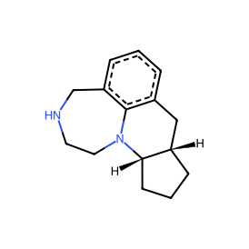 c1cc2c3c(c1)C[C@@H]1CCC[C@@H]1N3CCNC2